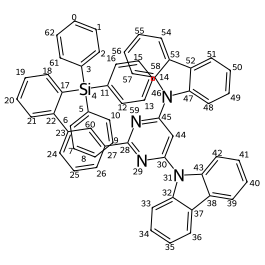 c1ccc([Si](c2ccccc2)(c2ccccc2)c2ccccc2-c2cccc(-c3nc(-n4c5ccccc5c5ccccc54)cc(-n4c5ccccc5c5ccccc54)n3)c2)cc1